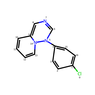 Clc1ccc(N2C=NC=C3C=CC=CN32)cc1